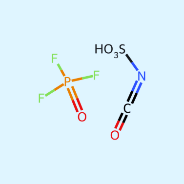 O=C=NS(=O)(=O)O.O=P(F)(F)F